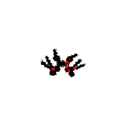 CCCCCCCCC1(CCCCCCCC)c2ccccc2-c2ccc(-c3nc(-c4ccc(CCCC)cc4)nc(-c4nc(-c5ccc(CCCC)cc5)nc(-c5ccc6c(c5)C(CCCCCCCC)(CCCCCCCC)c5ccccc5-6)n4)n3)cc21